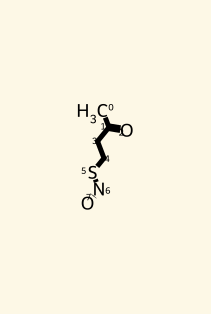 CC(=O)CCSN=O